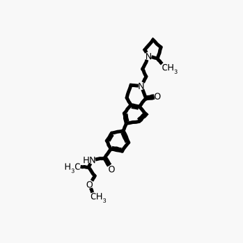 COCC(C)NC(=O)c1ccc(-c2ccc3c(c2)CCN(CCN2CCCC2C)C3=O)cc1